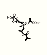 C=C(C)C(=O)OC(C)C[N+](C)(C)CCOP(=O)(O)O.C=C(OC)C(=O)[O-]